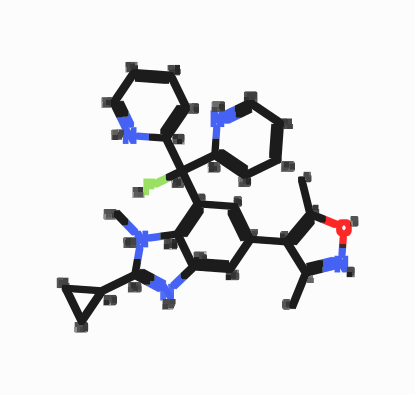 Cc1noc(C)c1-c1cc(C(F)(c2ccccn2)c2ccccn2)c2c(c1)nc(C1CC1)n2C